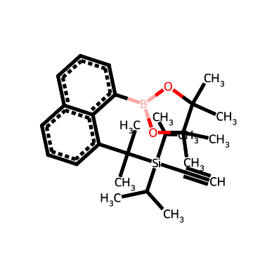 C#C[Si](C(C)C)(C(C)C)C(C)(C)c1cccc2cccc(B3OC(C)(C)C(C)(C)O3)c12